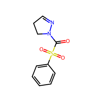 O=C(N1CCC=N1)S(=O)(=O)c1ccccc1